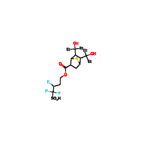 CCC(O)(CC)C1C2CC(C(=O)OCCC(F)C(F)(F)S(=O)(=O)O)C(S2)C1C(O)(CC)CC